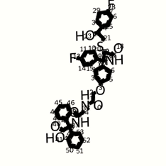 O=C(COc1ccc([C@]2(c3ccc(F)cc3)NC(=O)[C@@H]2SCC(O)c2ccc(F)cc2)cc1)NCC(=O)NC(C(=O)O)(c1ccccc1)c1ccccc1